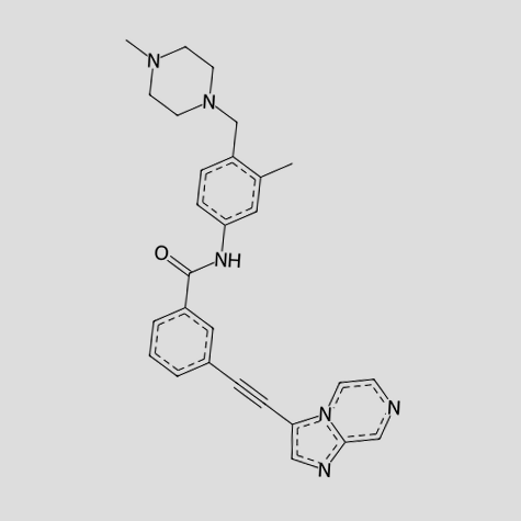 Cc1cc(NC(=O)c2cccc(C#Cc3cnc4cnccn34)c2)ccc1CN1CCN(C)CC1